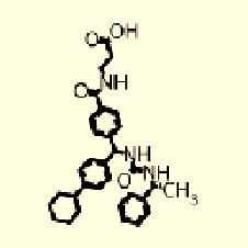 C[C@@H](NC(=O)NC(c1ccc(C(=O)NCCC(=O)O)cc1)c1ccc(C2CCCCC2)cc1)c1ccccc1